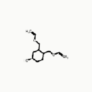 C=COCC1CC[C@@H](O)CC1COC=C